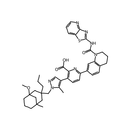 CCCC1(Cn2ncc(-c3ccc(-c4ccc5c(c4)N(C(=O)Nc4nc6ncccc6s4)CCC5)nc3C(=O)O)c2C)CC2(C)CCCC(OC)(C2)C1